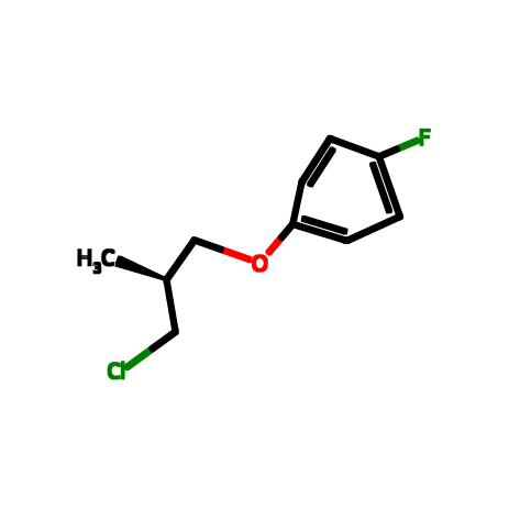 C[C@H](CCl)COc1ccc(F)cc1